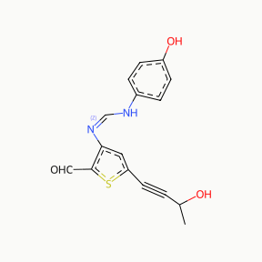 CC(O)C#Cc1cc(/N=C\Nc2ccc(O)cc2)c(C=O)s1